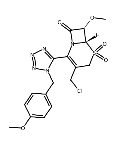 COc1ccc(Cn2nnnc2C2=C(CCl)CS(=O)(=O)[C@H]3[C@@H](OC)C(=O)N23)cc1